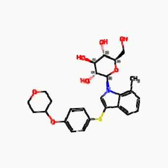 Cc1cccc2c(Sc3ccc(OC4CCOCC4)cc3)cn([C@@H]3O[C@H](CO)[C@@H](O)[C@H](O)[C@H]3O)c12